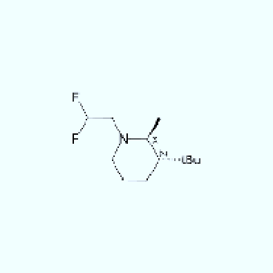 C[C@H]1[C@H](C(C)(C)C)CCCN1CC(F)F